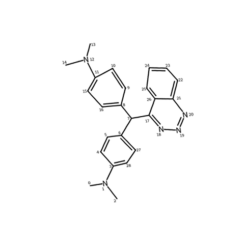 CN(C)c1ccc(C(c2ccc(N(C)C)cc2)c2nnnc3ccccc23)cc1